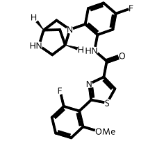 COc1cccc(F)c1-c1nc(C(=O)Nc2cc(F)ccc2N2C[C@@H]3C[C@H]2CN3)cs1